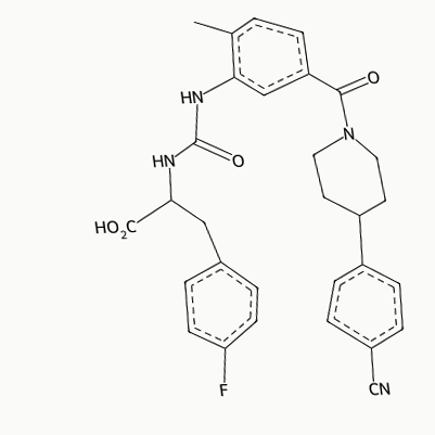 Cc1ccc(C(=O)N2CCC(c3ccc(C#N)cc3)CC2)cc1NC(=O)NC(Cc1ccc(F)cc1)C(=O)O